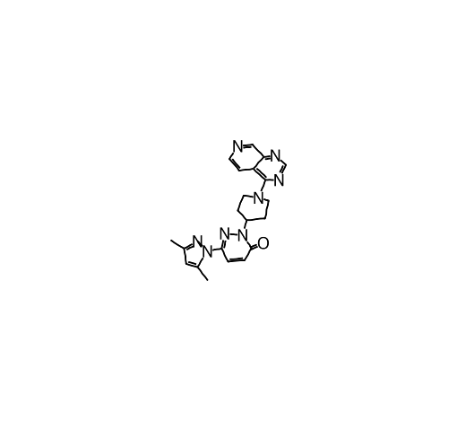 Cc1cc(C)n(-c2ccc(=O)n(C3CCN(c4ncnc5cnccc45)CC3)n2)n1